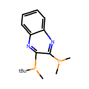 CP(C)c1nc2ccccc2nc1P(C)C(C)(C)C